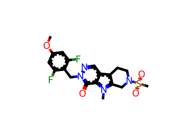 COc1cc(F)c(Cn2ncc3c4c(n(C)c3c2=O)CN(S(C)(=O)=O)CC4)c(F)c1